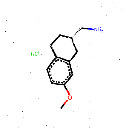 COc1ccc2c(c1)C[C@@H](CN)CC2.Cl